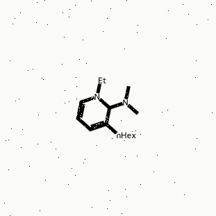 CCCCCCC1=CC=CN(CC)C1N(C)C